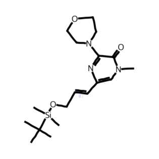 Cn1cc(/C=C/CO[Si](C)(C)C(C)(C)C)nc(N2CCOCC2)c1=O